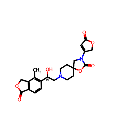 Cc1c([C@@H](O)CN2CCC3(CC2)CN(C2=CC(=O)OC2)C(=O)O3)ccc2c1COC2=O